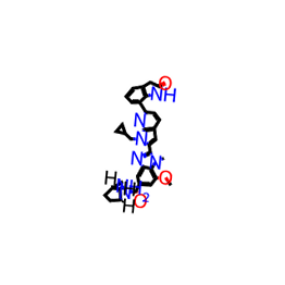 COc1cc(C(=O)N2C[C@H]3CC[C@@H]2[C@@H]3N)cc2nc(-c3cc4ccc(-c5cccc6c5NC(=O)C6)nc4n3CC3CC3)n(C)c12